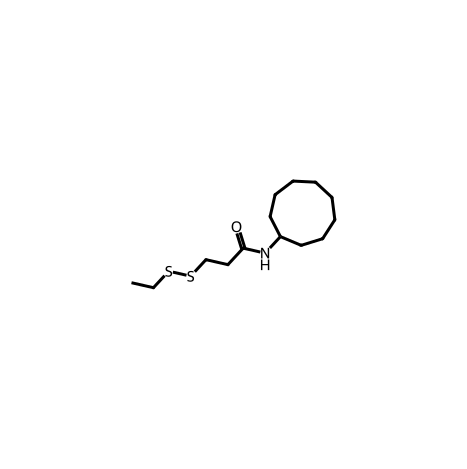 CCSSCCC(=O)NC1CCCCCCCC1